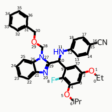 CCOc1cc(OC(C)C)c(F)c(C(Nc2ccc(C#N)cc2)c2nc3ccccc3n2COCc2ccccc2)c1